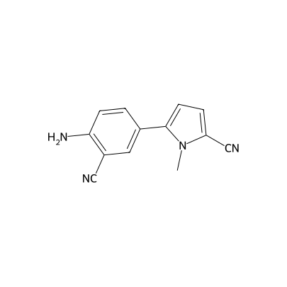 Cn1c(C#N)ccc1-c1ccc(N)c(C#N)c1